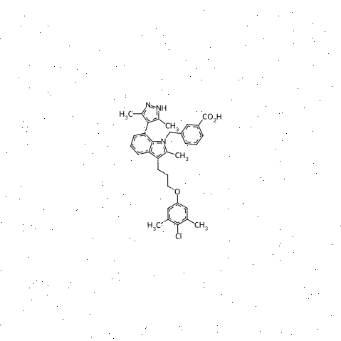 Cc1cc(OCCCc2c(C)n(Cc3cccc(C(=O)O)c3)c3c(-c4c(C)n[nH]c4C)cccc23)cc(C)c1Cl